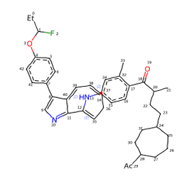 CCC(F)Oc1ccc(C2=CN=C3/C(Nc4ccc(C(=O)C(C)CCC5CCCC(C(C)=O)CC5)c(C)c4)=C/C/C=C\C=C\23)cc1